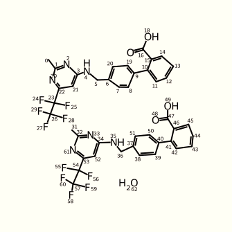 Cc1nc(NCc2ccc(-c3ccccc3C(=O)O)cc2)cc(C(F)(F)C(F)(F)F)n1.Cc1nc(NCc2ccc(-c3ccccc3C(=O)O)cc2)cc(C(F)(F)C(F)(F)F)n1.O